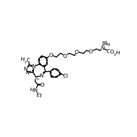 CCNC(=O)C[C@@H]1N=C(c2ccc(Cl)cc2)c2cc(OCCOCCOCCOCCN(C(=O)O)C(C)(C)C)ccc2-n2c(C)nnc21